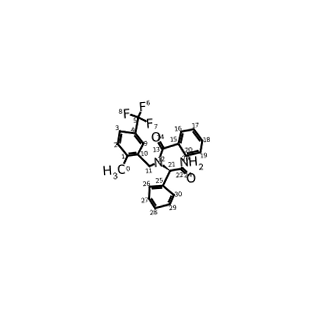 Cc1ccc(C(F)(F)F)cc1CN(C(=O)c1ccccc1)[C@@H](C(N)=O)c1ccccc1